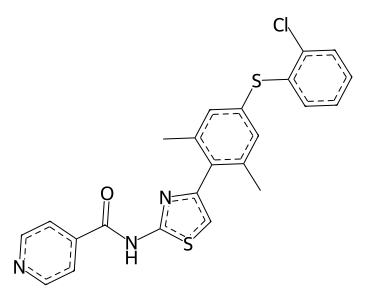 Cc1cc(Sc2ccccc2Cl)cc(C)c1-c1csc(NC(=O)c2ccncc2)n1